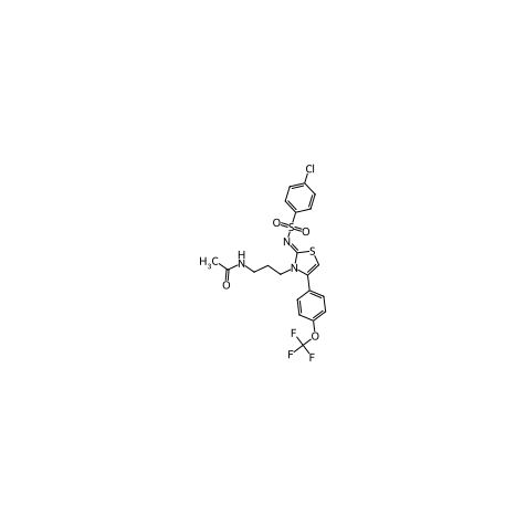 CC(=O)NCCCn1c(-c2ccc(OC(F)(F)F)cc2)cs/c1=N\S(=O)(=O)c1ccc(Cl)cc1